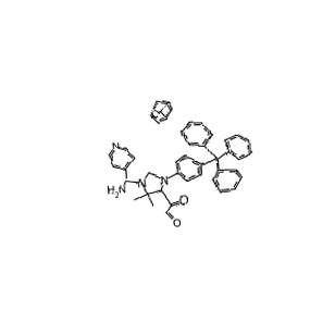 CC1(C)C(C(=O)C=O)N(c2ccc(C(c3ccccc3)(c3ccccc3)c3ccccc3)cc2)CN1C(N)c1ccncc1.O=C1c2cccc1c2